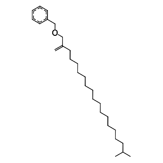 C=C(CCCCCCCCCCCCCCCC(C)C)COCc1ccccc1